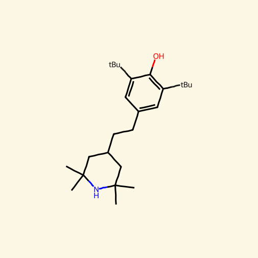 CC1(C)CC(CCc2cc(C(C)(C)C)c(O)c(C(C)(C)C)c2)CC(C)(C)N1